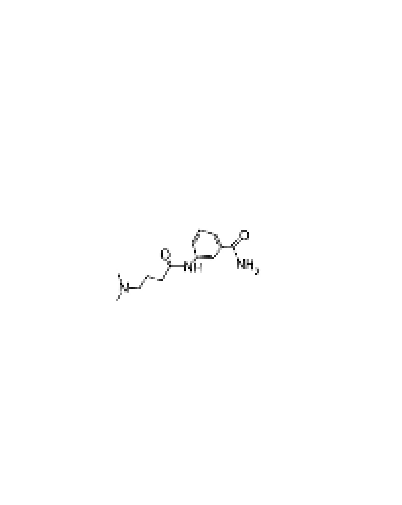 CN(C)CCCC(=O)Nc1cccc(C(N)=O)c1